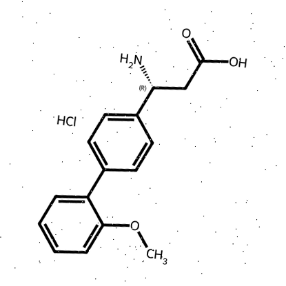 COc1ccccc1-c1ccc([C@H](N)CC(=O)O)cc1.Cl